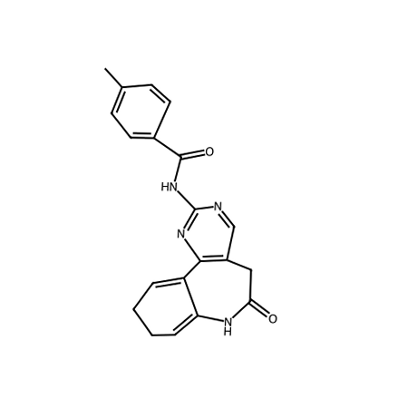 Cc1ccc(C(=O)Nc2ncc3c(n2)C2=CCCC=C2NC(=O)C3)cc1